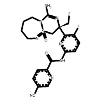 N#Cc1ccc(C(=O)Nc2ccc(F)c([C@]3(CF)CS4(=O)=NCCCCN4C(N)=N3)n2)nc1